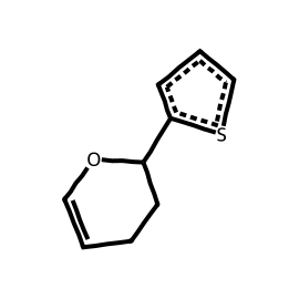 C1=COC(c2cccs2)CC1